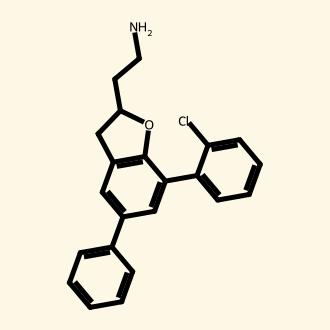 NCCC1Cc2cc(-c3ccccc3)cc(-c3ccccc3Cl)c2O1